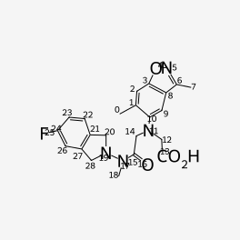 Cc1cc2onc(C)c2cc1N(CC(=O)O)CC(=O)N(C)N1Cc2ccc(F)cc2C1